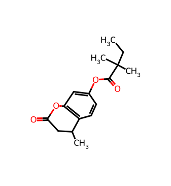 CCC(C)(C)C(=O)Oc1ccc2c(c1)OC(=O)CC2C